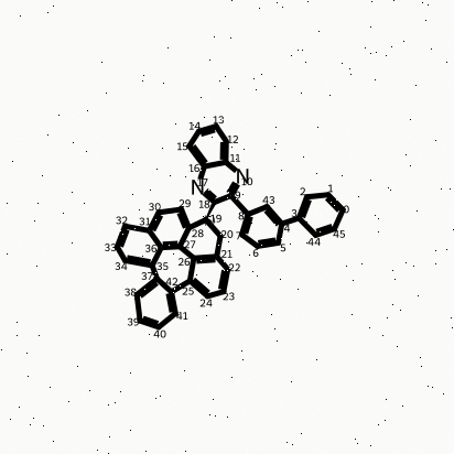 c1ccc(-c2cccc(-c3nc4ccccc4nc3[C@H]3Cc4cccc5c4-c4c3ccc3cccc(c43)-c3ccccc3-5)c2)cc1